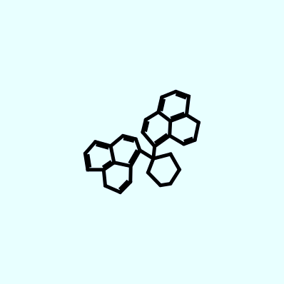 C1=Cc2c(C3(c4ccc5cccc6c5c4C=CC6)CCCCC3)ccc3cccc(c23)C1